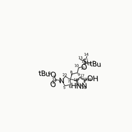 CC(C)(C)OC(=O)N1CC[C@@](CCCO[Si](C)(C)C(C)(C)C)(c2cc(O)n[nH]2)C1